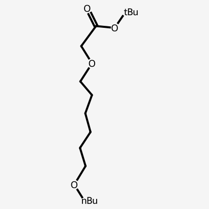 CCCCOCCCCCCOCC(=O)OC(C)(C)C